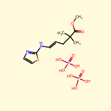 COC(=O)C(C)(C)CC=CNc1nccs1.O=P(O)(O)O.O=P(O)(O)O